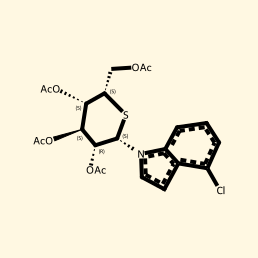 CC(=O)OC[C@@H]1S[C@H](n2ccc3c(Cl)cccc32)[C@H](OC(C)=O)[C@@H](OC(C)=O)[C@@H]1OC(C)=O